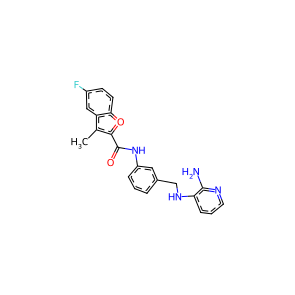 Cc1c(C(=O)Nc2cccc(CNc3cccnc3N)c2)oc2ccc(F)cc12